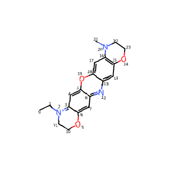 CC[N+]1=c2cc3c(cc2OCC1)=Nc1cc2c(cc1O3)N(C)CCO2